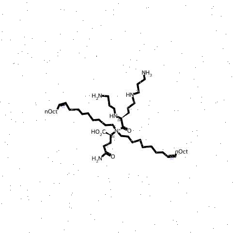 CCCCCCCC/C=C\CCCCCCCC[N+](CCCCCCCC/C=C\CCCCCCCC)(C(=O)[C@H](CCCNCCCN)NCCCN)[C@@H](CCC(N)=O)C(=O)O